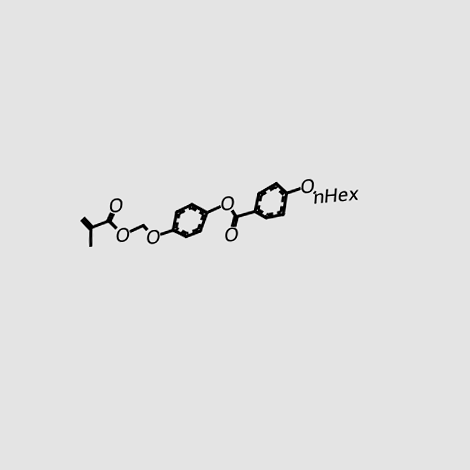 C=C(C)C(=O)OCOc1ccc(OC(=O)c2ccc(OCCCCCC)cc2)cc1